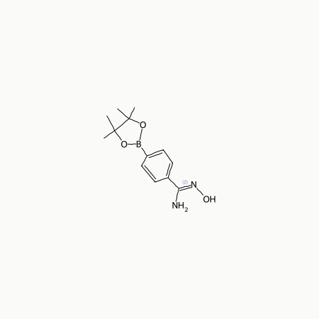 CC1(C)OB(c2ccc(/C(N)=N/O)cc2)OC1(C)C